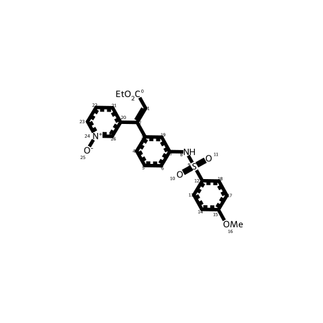 CCOC(=O)C=C(c1cccc(NS(=O)(=O)c2ccc(OC)cc2)c1)c1ccc[n+]([O-])c1